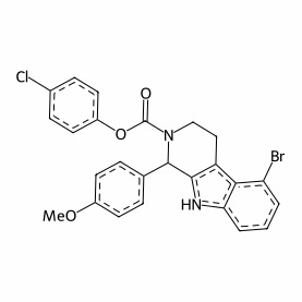 COc1ccc(C2c3[nH]c4cccc(Br)c4c3CCN2C(=O)Oc2ccc(Cl)cc2)cc1